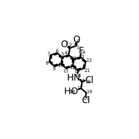 O=CC(=O)c1c2ccccc2cc2c(NC(Cl)C(O)CCl)ccc(F)c12